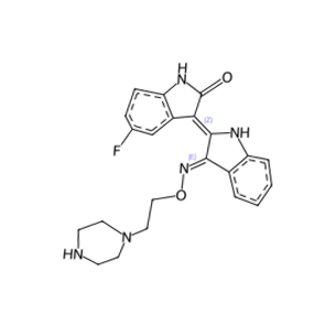 O=C1Nc2ccc(F)cc2/C1=C1/Nc2ccccc2/C1=N\OCCN1CCNCC1